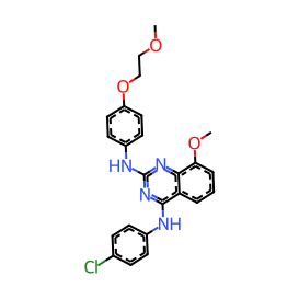 COCCOc1ccc(Nc2nc(Nc3ccc(Cl)cc3)c3cccc(OC)c3n2)cc1